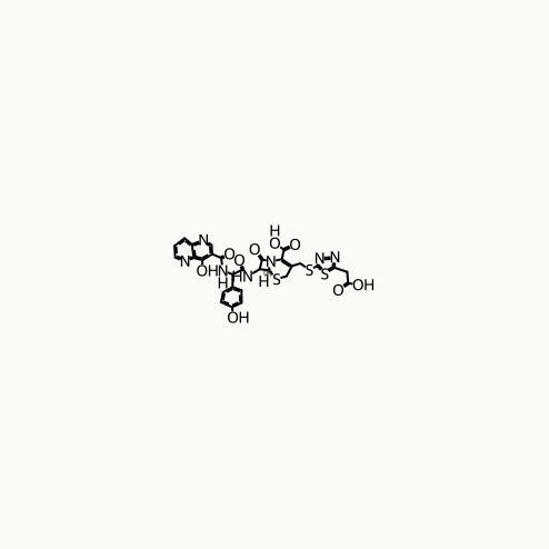 O=C(O)Cc1nnc(SCC2=C(C(=O)O)N3C(=O)C(NC(=O)C(NC(=O)c4cnc5cccnc5c4O)c4ccc(O)cc4)[C@@H]3SC2)s1